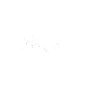 COc1ccc2c(c1)OCC(C(=O)N1CCN(c3nc(N)c4cc(OC)c(OC)cc4n3)CC1)O2